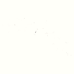 CC(C)(C)c1ccc(C[C@H](N)C(=O)NCc2ccc(N)nc2)cc1